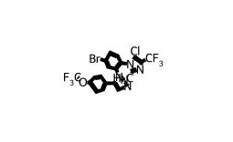 Cc1nc(C(F)(F)F)c(Cl)n1-c1ccc(Br)cc1-n1nncc1-c1ccc(OC(F)(F)F)cc1